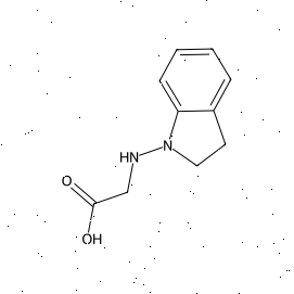 O=C(O)CNN1CCc2ccccc21